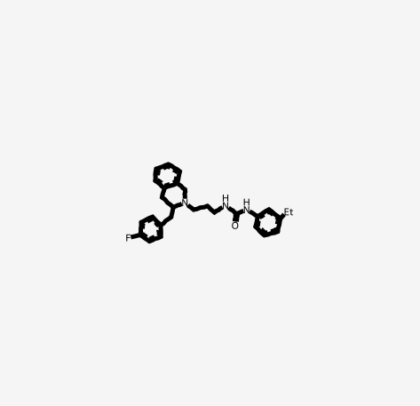 CCc1cccc(NC(=O)NCCCN2Cc3ccccc3CC2Cc2ccc(F)cc2)c1